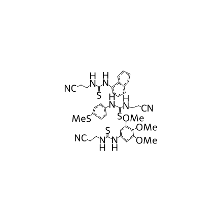 COc1cc(NC(=S)NCCC#N)cc(OC)c1OC.CSc1ccc(NC(=S)NCCC#N)cc1.N#CCCNC(=S)Nc1cccc2ccccc12